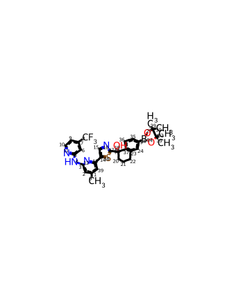 Cc1cc(Nc2cc(C(F)(F)F)ccn2)nc(-c2cnc([C@@]3(O)CCCc4cc(B5OC(C)(C)C(C)(C)O5)ccc43)s2)c1